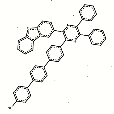 N#Cc1ccc(-c2ccc(-c3ccc(-c4nc(-c5ccccc5)c(-c5ccccc5)nc4-c4ccc5oc6ccccc6c5c4)cc3)cc2)cc1